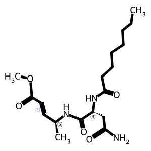 CCCCCCCC(=O)N[C@H](CC(N)=O)C(=O)N[C@@H](C)/C=C/C(=O)OC